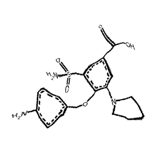 Nc1ccc(Oc2c(N3CCCC3)cc(C(=O)O)cc2S(N)(=O)=O)cc1